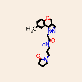 Cc1ccc2c(c1)-c1c(cnn1CC(=O)NCCCN1CCCC1=O)CO2